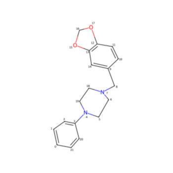 c1ccc(N2CCN(Cc3ccc4c(c3)OCO4)CC2)cc1